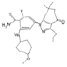 CCc1nn(-c2cc(F)c(C(N)=O)c(NC3CCC(OC)CC3)c2)c2c1C(=O)CC(C)(C)C2